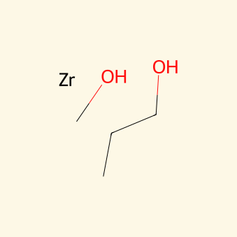 CCCO.CO.[Zr]